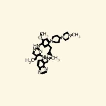 C=Cc1cnc(Nc2cc(CC3CC3)c(N3CCC(N4CCN(C)CC4)CC3)cc2OC)nc1Nc1ccc2nccnc2c1CNC